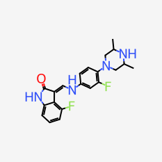 CC1CN(c2ccc(N/C=C3/C(=O)Nc4cccc(F)c43)cc2F)CC(C)N1